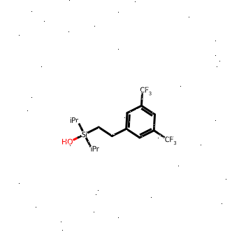 CC(C)[Si](O)(CCc1cc(C(F)(F)F)cc(C(F)(F)F)c1)C(C)C